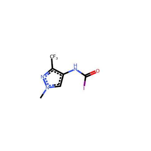 Cn1cc(NC(=O)I)c(C(F)(F)F)n1